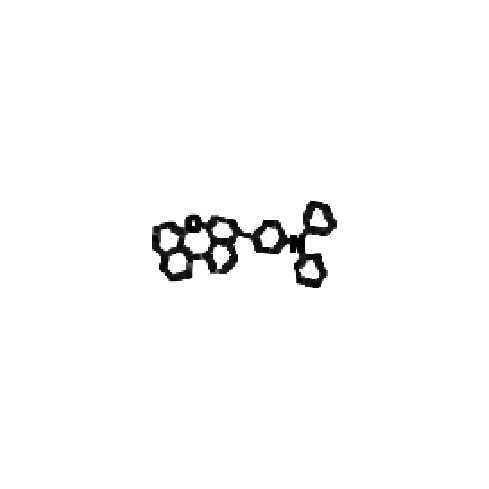 c1ccc(N(c2ccccc2)c2ccc(-c3ccc4oc5cccc6cccc(c7cccc3c47)c65)cc2)cc1